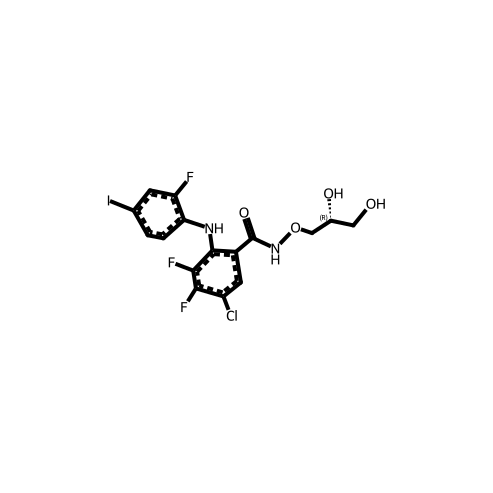 O=C(NOC[C@H](O)CO)c1cc(Cl)c(F)c(F)c1Nc1ccc(I)cc1F